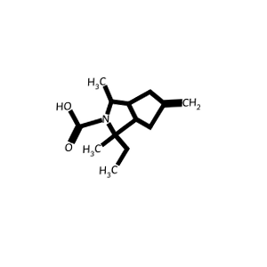 C=C1CC2C(C)N(C(=O)O)C(C)(CC)C2C1